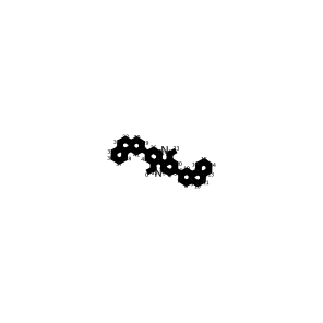 Cc1nc2cc(-c3ccc4ccc5ccccc5c4c3)cc3c(C)nc4cc(-c5ccc6ccc7ccccc7c6c5)cc1c4c23